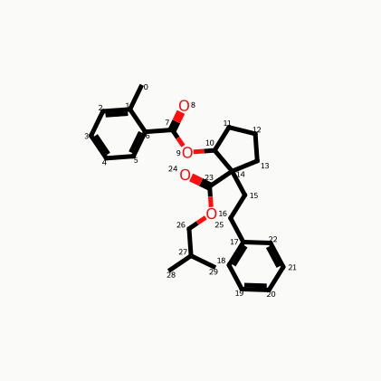 Cc1ccccc1C(=O)OC1CCCC1(CCc1ccccc1)C(=O)OCC(C)C